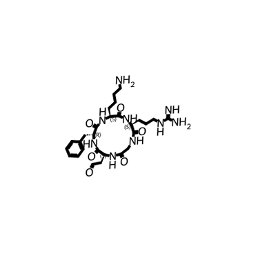 N=C(N)NCCC[C@@H]1NC(=O)[C@H](CCCCN)NC(=O)[C@@H](Cc2ccccc2)NC(=O)[C@H](CC=O)NC(=O)CNC1=O